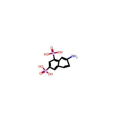 Nc1ccc2cc(P(=O)(O)O)cc(P(=O)(O)O)c2c1